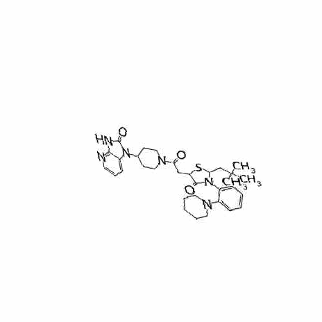 CC(C)(C)CC1SC(CC(=O)N2CCC(n3c(=O)[nH]c4ncccc43)CC2)C(=O)N1c1ccccc1N1CCCCC1